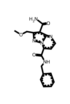 COCc1nn2c(C(=O)NCc3ccccc3)ccnc2c1C(N)=O